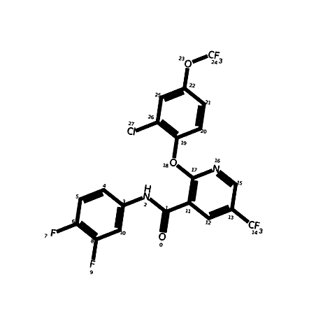 O=C(Nc1ccc(F)c(F)c1)c1cc(C(F)(F)F)cnc1Oc1ccc(OC(F)(F)F)cc1Cl